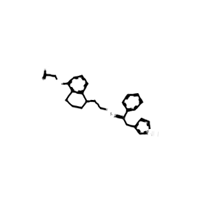 O=C(O)COc1cccc2c1CCCC2CCON=C(Cc1cc[nH]c1)c1ccccc1